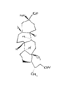 CCC[C@@]1(O)CC[C@H]2[C@H](CC[C@@H]3[C@@H]2CC[C@]2(C)[C@@H]([C@@H](C)CO)CC[C@@H]32)C1